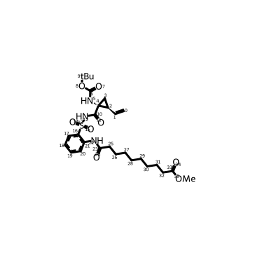 C=C[C@@H]1C[C@]1(NC(=O)OC(C)(C)C)C(=O)NS(=O)(=O)c1ccccc1NC(=O)CCCCCCCCC(=O)OC